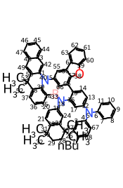 CCCCc1ccc(N(c2ccccc2)c2ccc3c(c2)N(c2ccc4c(c2)C(C)(C)CCC4(C)C)B2c4cccc5c4N(c4cc6ccccc6cc4C5(C)C)c4cc5c(oc6ccccc65)c-3c42)cc1